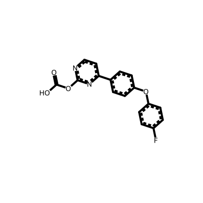 O=C(O)Oc1nccc(-c2ccc(Oc3ccc(F)cc3)cc2)n1